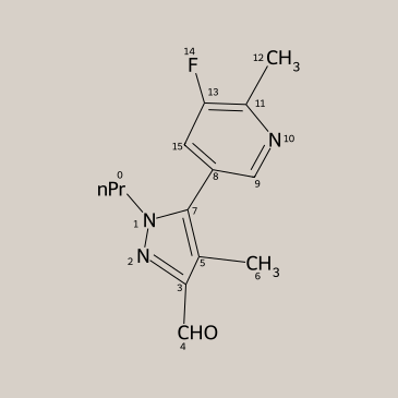 CCCn1nc(C=O)c(C)c1-c1cnc(C)c(F)c1